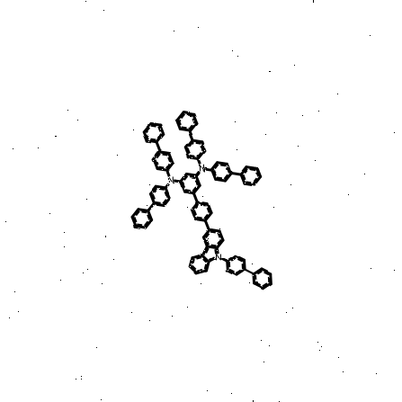 c1ccc(-c2ccc(N(c3ccc(-c4ccccc4)cc3)c3cc(-c4ccc(-c5ccc6c(c5)c5ccccc5n6-c5ccc(-c6ccccc6)cc5)cc4)cc(N(c4ccc(-c5ccccc5)cc4)c4ccc(-c5ccccc5)cc4)c3)cc2)cc1